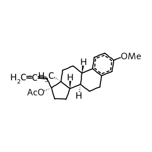 C=C=C[C@]1(OC(C)=O)CC[C@H]2[C@@H]3CCc4cc(OC)ccc4[C@H]3CC[C@@]21C